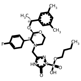 CCCCOP(=O)(O)n1nc(CN2CCO[C@H](O[C@H](C)c3cc(C)cc(C)c3)[C@@H]2C2C=CC(F)=CC2)[nH]c1=O